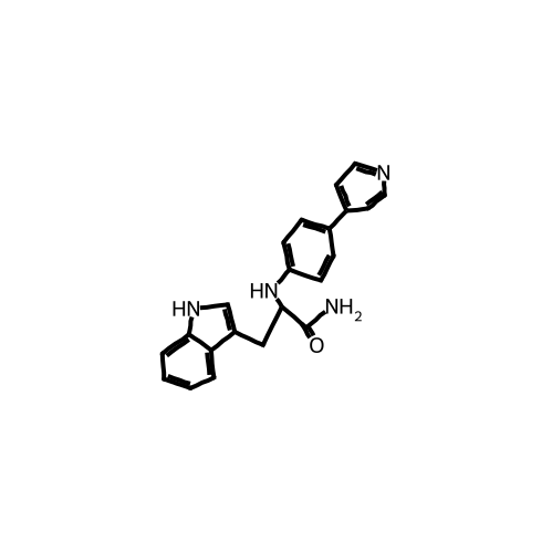 NC(=O)C(Cc1c[nH]c2ccccc12)Nc1ccc(-c2ccncc2)cc1